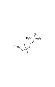 C#CCC(F)(F)CCCC(C)(C)CCC